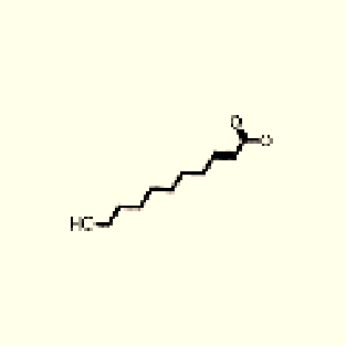 [O]C(=O)/C=C/CCCCCCCO